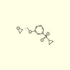 O=S(=O)(c1cccc(OC[C@@H]2CO2)c1)C1CC1